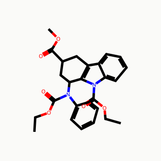 CCOC(=O)N(c1ccccc1)C1CC(C(=O)OC)Cc2c1n(C(=O)OCC)c1ccccc21